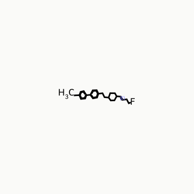 CCc1ccc(-c2ccc(CCC3CCC(/C=C/CCF)CC3)cc2)cc1